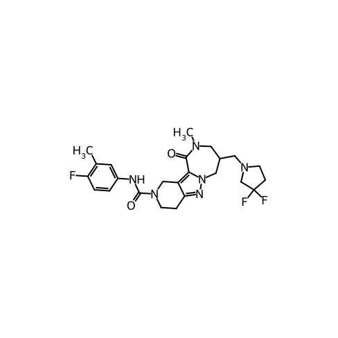 Cc1cc(NC(=O)N2CCc3nn4c(c3C2)C(=O)N(C)CC(CN2CCC(F)(F)C2)C4)ccc1F